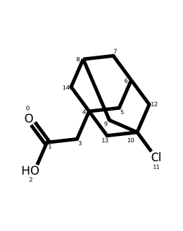 O=C(O)CC12CC3CC(CC(Cl)(C3)C1)C2